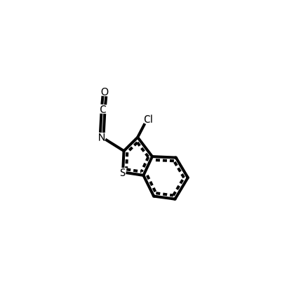 O=C=Nc1sc2ccccc2c1Cl